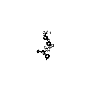 CNC(=O)c1cc(Oc2ccc(NC(=O)Nc3cc(C4CCC4)nn3-c3cccc(C)c3)c(Cl)c2)ccn1